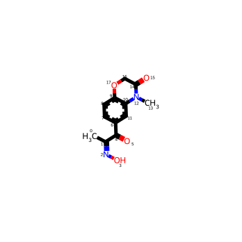 C/C(=N/O)C(=O)c1ccc2c(c1)N(C)C(=O)CO2